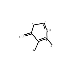 CC1=C(C)C(=O)CC=N1